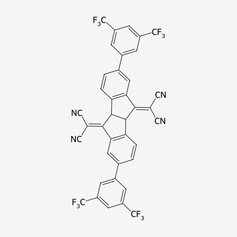 N#CC(C#N)=C1c2cc(-c3cc(C(F)(F)F)cc(C(F)(F)F)c3)ccc2C2C(=C(C#N)C#N)c3cc(-c4cc(C(F)(F)F)cc(C(F)(F)F)c4)ccc3C12